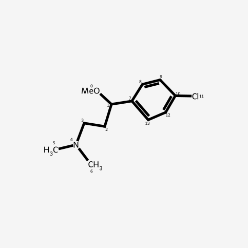 COC(CCN(C)C)c1ccc(Cl)cc1